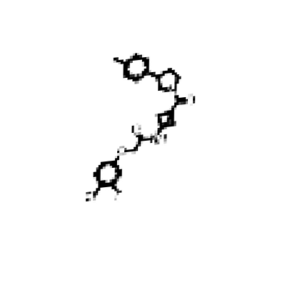 Cc1ccc(C2CCN(C(=O)C34CC(NC(=O)COc5ccc(Cl)c(F)c5)(C3)C4)C2)cc1